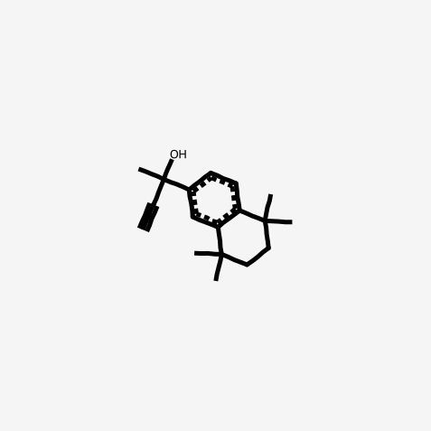 C#CC(C)(O)c1ccc2c(c1)C(C)(C)CCC2(C)C